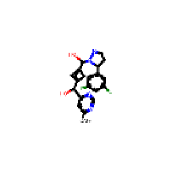 COc1cc(C(O)C23CC(C(O)N4N=CCC4c4cc(F)cc(F)c4)(C2)C3)ncn1